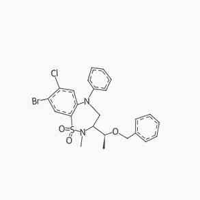 C[C@H](OCc1ccccc1)C1CN(c2ccccc2)c2cc(Cl)c(Br)cc2S(=O)(=O)N1C